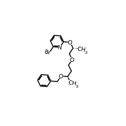 C[C@H](CCOC[C@@H](C)Oc1cccc(Br)n1)OCc1ccccc1